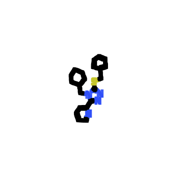 c1ccc(CSc2nnc(-c3ccccn3)n2CC2CCCCC2)cc1